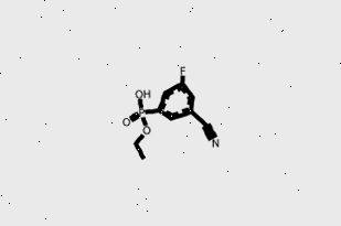 CCOP(=O)(O)c1cc(F)cc(C#N)c1